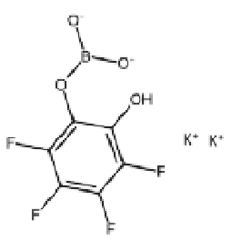 [K+].[K+].[O-]B([O-])Oc1c(O)c(F)c(F)c(F)c1F